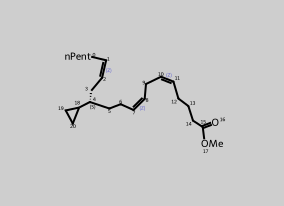 CCCCC/C=C\C[C@H](CC/C=C\C/C=C\CCCC(=O)OC)C1CC1